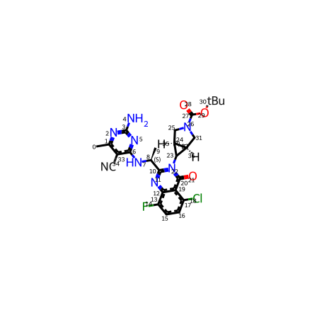 Cc1nc(N)nc(N[C@@H](C)c2nc3c(F)ccc(Cl)c3c(=O)n2C2[C@H]3CN(C(=O)OC(C)(C)C)C[C@@H]23)c1C#N